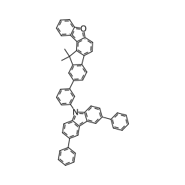 CC1(C)c2cc(-c3cccc(-n4c5ccc(-c6ccccc6)cc5c5cc(-c6ccccc6)ccc54)c3)ccc2-c2ccc3oc4ccccc4c3c21